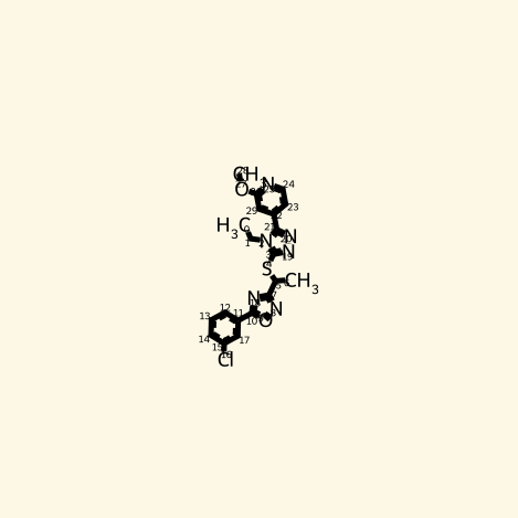 CCn1c(SC(C)c2noc(-c3cccc(Cl)c3)n2)nnc1-c1ccnc(OC)c1